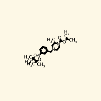 C=C(C)OC(=O)N1CCN(Cc2cccc(B3OC(C)(C)C(C)(C)O3)c2)C[C@@H]1C